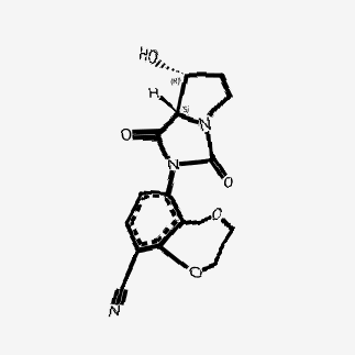 N#Cc1ccc(N2C(=O)[C@@H]3[C@H](O)CCN3C2=O)c2c1OCCO2